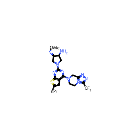 CCCc1cc2c(N3CCn4c(nnc4C(F)(F)F)C3)nc(N3CC(=NOC)C(N)C3)nc2s1